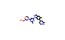 Cc1nc(N2CCO[C@H](CO)C2)cc(-n2ncc3cc(C)c(C4CCNC(C)C4)cc32)n1